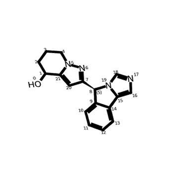 OC1CCCn2nc([C@@H]3c4ccccc4-c4cncn43)cc21